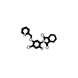 O=C1C2=C(CCCC2)C(=O)N1c1cc(OCc2ccccn2)c(Cl)cc1F